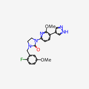 COc1ccc(F)c(CN2CCN(c3ccc(-c4cn[nH]c4)c(OC)n3)C2=O)c1